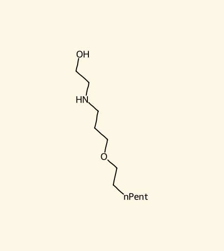 CCCCCCCOCCCNCCO